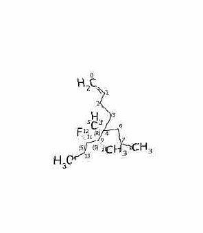 C=CCC[C@@](C)(CCC)[C@H](C)[C@@H](F)CC